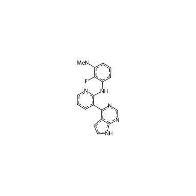 CNc1cccc(Nc2ncccc2-c2ncnc3[nH]ccc23)c1F